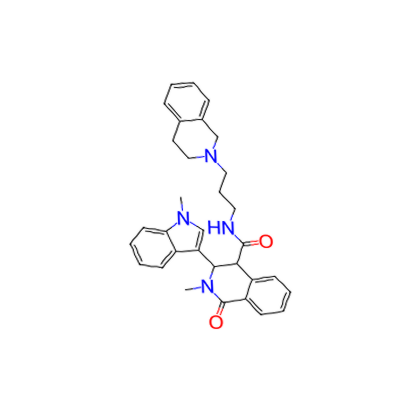 CN1C(=O)c2ccccc2C(C(=O)NCCCN2CCc3ccccc3C2)C1c1cn(C)c2ccccc12